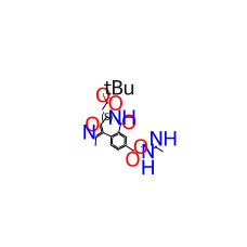 CC(=N)NOC(=O)c1ccc2c(c1)C(=O)N[C@@H](CC(=O)OC(C)(C)C)c1onc(C)c1-2